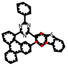 c1ccc(-c2nc(-c3ccccc3)nc(-c3cccc4c5ccccc5c5ccc(-c6ccc7sc8ccccc8c7c6)cc5c34)n2)cc1